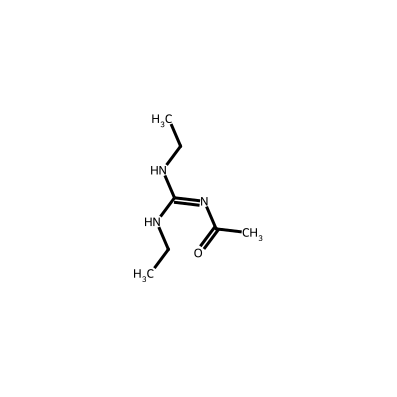 CCNC(=NC(C)=O)NCC